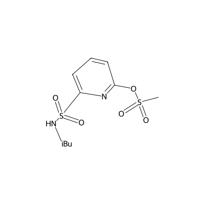 CCC(C)NS(=O)(=O)c1cccc(OS(C)(=O)=O)n1